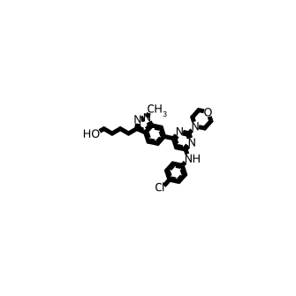 Cn1nc(CCCCO)c2ccc(-c3cc(Nc4ccc(Cl)cc4)nc(N4CCOCC4)n3)cc21